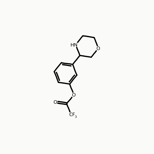 O=C(Oc1cccc(C2COCCN2)c1)C(F)(F)F